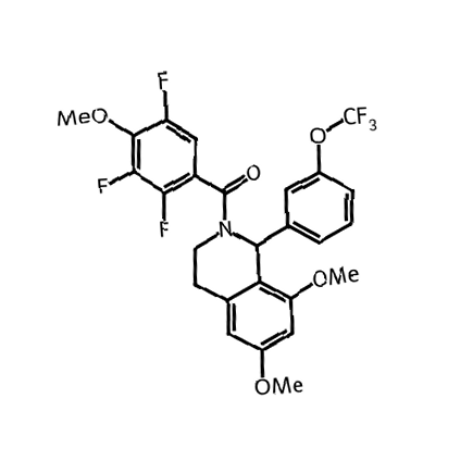 COc1cc2c(c(OC)c1)C(c1cccc(OC(F)(F)F)c1)N(C(=O)c1cc(F)c(OC)c(F)c1F)CC2